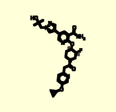 CC(C)(O)Cn1cc(-c2cnc(O[C@@H]3CCN(C(=O)Cc4ccc(OC5CC5)cn4)C[C@@H]3F)c(C(N)=O)c2)cn1